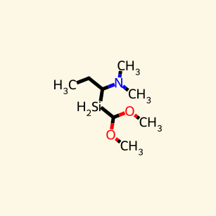 CCC([SiH2]C(OC)OC)N(C)C